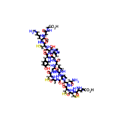 C[C@H](NC(=O)[C@@H]1CCCN1C(=O)[C@H](CC(N)=O)NC(=O)[C@H](CS)NC(=O)[C@H](CS)NC(=O)[C@@H](N)CCC(=O)O)C(=O)N[C@@H](CS)C(=O)NCC(=O)N[C@@H](CCCNC(=N)N)C(=O)N[C@@H](Cc1c[nH]cn1)C(=O)N[C@@H](Cc1ccc(O)cc1)C(=O)N[C@@H](CO)C(=O)N[C@@H](CS)C(=O)N[C@@H](CCCCN)C(=O)NCC(=O)NCC(=O)O